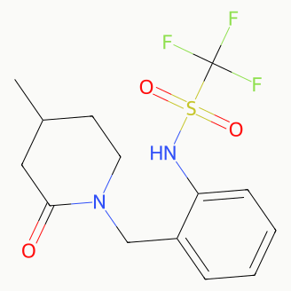 CC1CCN(Cc2ccccc2NS(=O)(=O)C(F)(F)F)C(=O)C1